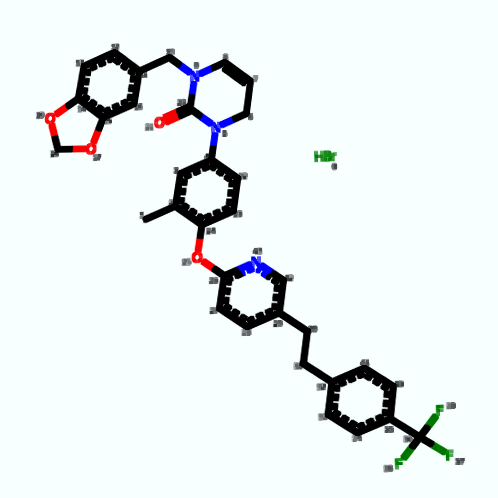 Br.Cc1cc(N2CC=CN(Cc3ccc4c(c3)OCO4)C2=O)ccc1Oc1ccc(CCc2ccc(C(F)(F)F)cc2)cn1